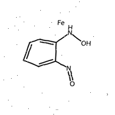 O=Nc1ccccc1NO.[Fe]